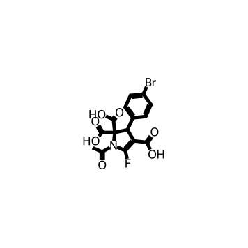 CC(=O)N1C(F)=C(C(=O)O)C(c2ccc(Br)cc2)C1(C(=O)O)C(=O)O